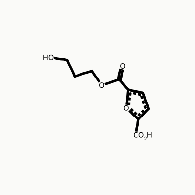 O=C(O)c1ccc(C(=O)OCCCO)o1